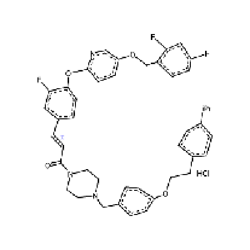 CC(C)c1ccc(CCOc2ccc(CN3CCN(C(=O)/C=C/c4ccc(Oc5ccc(OCc6ccc(F)cc6F)cn5)c(F)c4)CC3)cc2)cc1.Cl